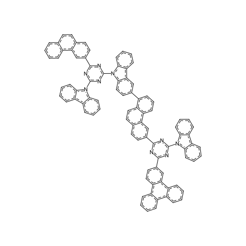 c1ccc2c(c1)ccc1ccc(-c3nc(-n4c5ccccc5c5ccccc54)nc(-n4c5ccccc5c5cc(-c6cccc7c6ccc6ccc(-c8nc(-c9ccc%10c%11ccccc%11c%11ccccc%11c%10c9)nc(-n9c%10ccccc%10c%10ccccc%109)n8)cc67)ccc54)n3)cc12